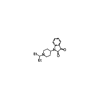 CCC(CC)N1CCC(N2C(=O)C(=O)c3ccccc32)CC1